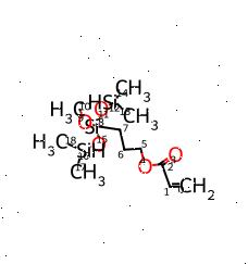 C=CC(=O)OCCC[Si](OC)(O[SiH](C)C)O[SiH](C)C